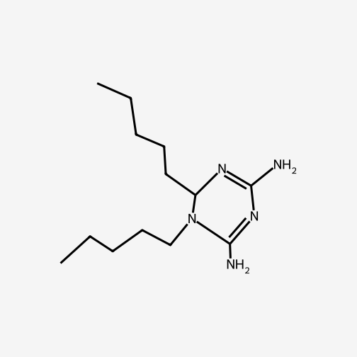 CCCCCC1N=C(N)N=C(N)N1CCCCC